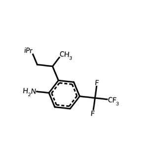 CC(C)CC(C)c1cc(C(F)(F)C(F)(F)F)ccc1N